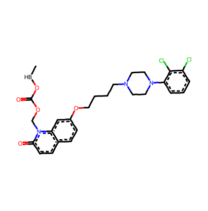 CBOC(=O)OCn1c(=O)ccc2ccc(OCCCCN3CCN(c4cccc(Cl)c4Cl)CC3)cc21